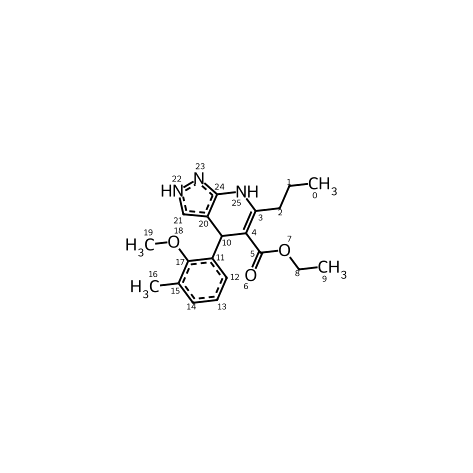 CCCC1=C(C(=O)OCC)C(c2cccc(C)c2OC)c2c[nH]nc2N1